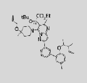 C=CCOC1(C)CCN(c2c([C@H](OC(C)(C)C)C(=O)OCC)c(C)nc3cc(-c4cccc(-c5cc(C)ccc5OC(C)C(C)C=C)c4)nn23)CC1